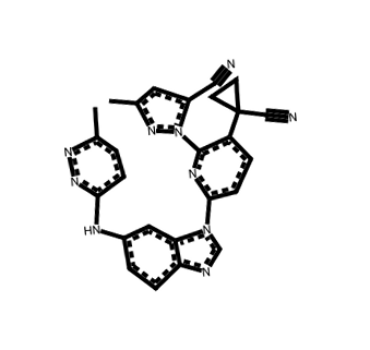 Cc1ccc(Nc2ccc3ncn(-c4ccc(C5(C#N)CC5)c(-n5nc(C)cc5C#N)n4)c3c2)nn1